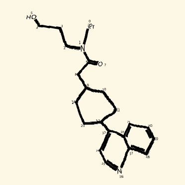 CC(C)N(CCCO)C(=O)CC1CCC(c2ccnc3ccccc23)CC1